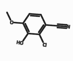 COc1ccc(C#N)c(Cl)c1O